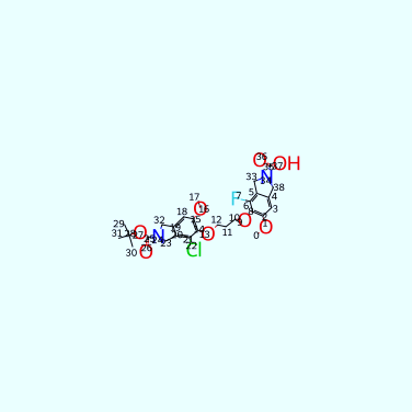 COc1cc2c(c(F)c1OCCCOc1c(OC)cc3c(c1Cl)CN(C(=O)OC(C)(C)C)C3)CN(C(=O)O)C2